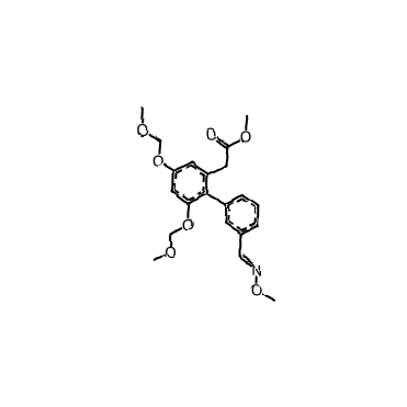 COCOc1cc(CC(=O)OC)c(-c2cccc(C=NOC)c2)c(OCOC)c1